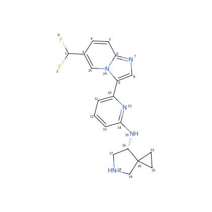 FC(F)c1ccc2ncc(-c3cccc(N[C@H]4CNCC45CC5)n3)n2c1